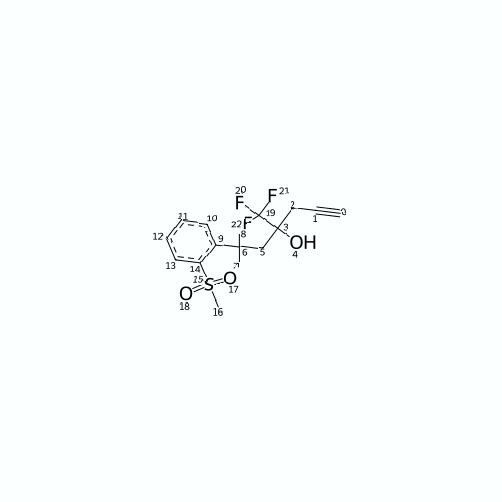 C#CCC(O)(CC(C)(C)c1ccccc1S(C)(=O)=O)C(F)(F)F